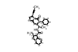 CC#Cc1cnc2cc(C(C)NC(=O)c3c(N)nn4cccnc34)n(-c3ccccc3)c(=O)n12